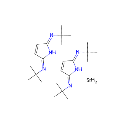 CC(C)(C)N=C1C=CC(=NC(C)(C)C)N1.CC(C)(C)N=C1C=CC(=NC(C)(C)C)N1.[SrH2]